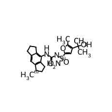 Cc1oc([S@@](N)(=O)=NC(=O)Nc2c3c(cc4c2CC[C@@H]4C)CCC3)cc1C(C)(C)O